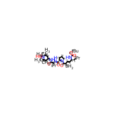 B[C@@H](/C=C/[C@H](CC(C)C)NC(=O)OC(C)(C)C)C(=O)N1CCC[C@H]1C(=O)N[C@H](C(=O)NC1CC(C)(C)N(O)C(C)(C)C1)C(C)C